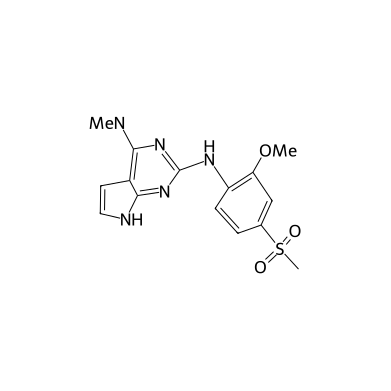 CNc1nc(Nc2ccc(S(C)(=O)=O)cc2OC)nc2[nH]ccc12